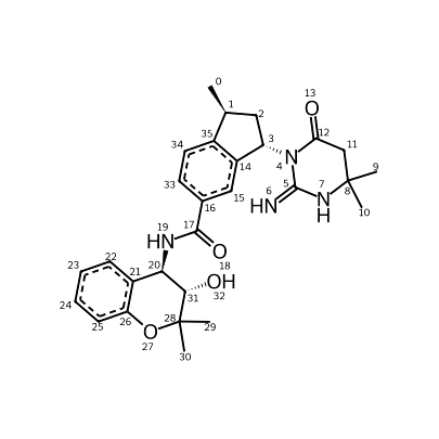 C[C@H]1C[C@H](N2C(=N)NC(C)(C)CC2=O)c2cc(C(=O)N[C@@H]3c4ccccc4OC(C)(C)[C@H]3O)ccc21